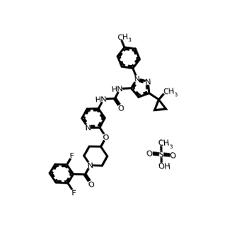 CS(=O)(=O)O.Cc1ccc(-n2nc(C3(C)CC3)cc2NC(=O)Nc2ccnc(OC3CCN(C(=O)c4c(F)cccc4F)CC3)c2)cc1